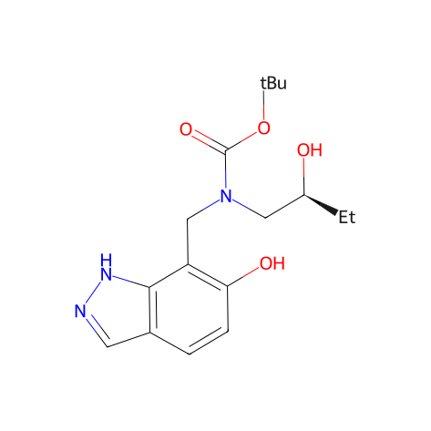 CC[C@H](O)CN(Cc1c(O)ccc2cn[nH]c12)C(=O)OC(C)(C)C